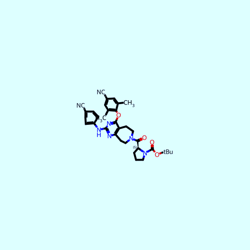 Cc1cc(C#N)cc(C)c1Oc1nc(Nc2ccc(C#N)cc2)nc2c1CCN(C(=O)[C@@H]1CCCN1C(=O)OC(C)(C)C)CC2